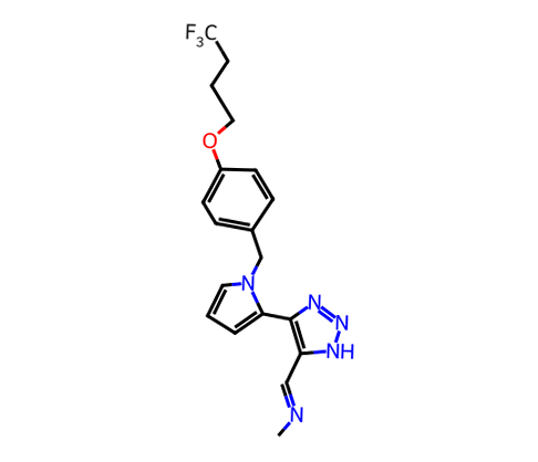 C/N=C/c1[nH]nnc1-c1cccn1Cc1ccc(OCCCC(F)(F)F)cc1